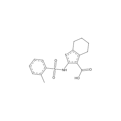 Cc1ccccc1S(=O)(=O)Nc1sc2c(c1C(=O)O)CCCC2